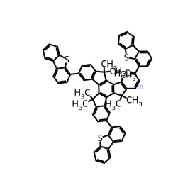 C=C(/C=C\C1=C(C)c2c(c3c(c4c2C(C)(C)c2ccc(-c5cccc6c5sc5ccccc56)cc2-4)C(C)(C)c2ccc(-c4cccc5c4sc4ccccc45)cc2-3)C1(C)C)c1cccc2c1sc1ccccc12